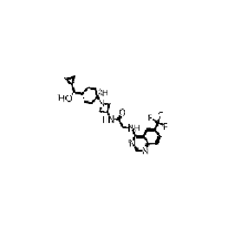 [2H][C@]1(N2CC(NC(=O)CNc3ncnc4ccc(C(F)(F)F)cc34)C2)CC[C@H]([C@H](O)C2CC2)CC1